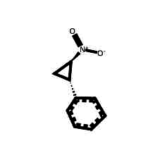 O=[N+]([O-])[C@@H]1C[C@H]1c1cc[c]cc1